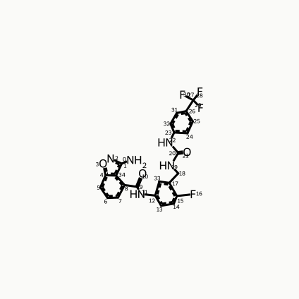 Nc1noc2cccc(C(=O)Nc3ccc(F)c(CNC(=O)Nc4ccc(C(F)(F)F)cc4)c3)c12